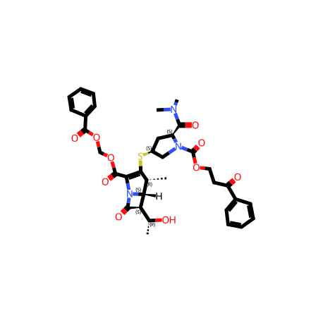 C[C@@H](O)[C@H]1C(=O)N2C(C(=O)OCOC(=O)c3ccccc3)=C(S[C@H]3C[C@@H](C(=O)N(C)C)N(C(=O)OCCC(=O)c4ccccc4)C3)[C@H](C)[C@H]12